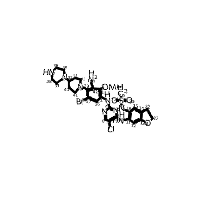 COc1c(Nc2ncc(Cl)c(Nc3cc4c(cc3NS(C)(=O)=O)CCO4)n2)cc(Br)c(N2CCC(N3CCNCC3)CC2)c1N